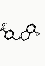 O=[N+]([O-])c1ccc(CN2CCc3c(Br)cccc3C2)cc1